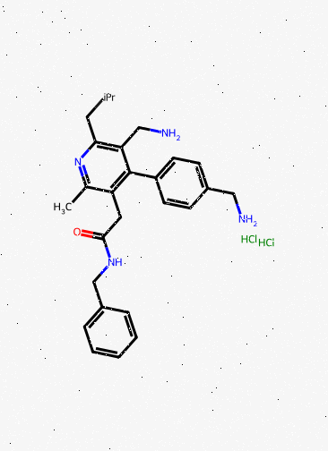 Cc1nc(CC(C)C)c(CN)c(-c2ccc(CN)cc2)c1CC(=O)NCc1ccccc1.Cl.Cl